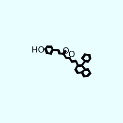 O=C(/C=C/c1ccc(O)cc1)CC(=O)/C=C/c1ccc2ccccc2c1-c1ccccc1